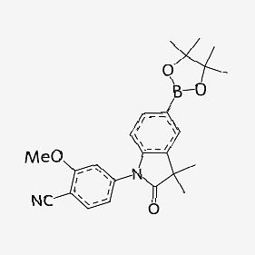 COc1cc(N2C(=O)C(C)(C)c3cc(B4OC(C)(C)C(C)(C)O4)ccc32)ccc1C#N